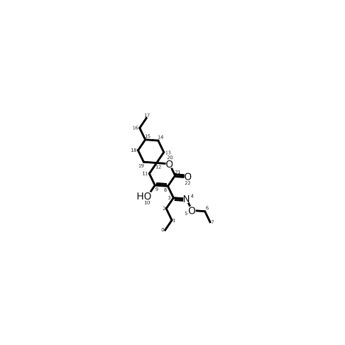 CCCC(=NOCC)C1=C(O)CC2(CCC(CC)CC2)OC1=O